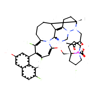 CCc1c(F)ccc2cc(O)cc(C3=C(F)C=C(OC[C@@]45CCCN4C[C@H](F)C5)N4C5=NCN6C7=C5[C@@H](CCCC4=C3F)[C@H](CC7)N6Cc3oc(=O)oc3C)c12